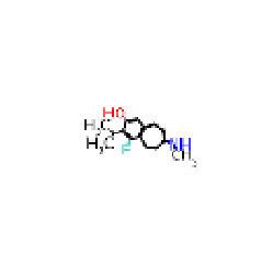 CNC1CCc2cc(O)c(C(C)C)c(F)c2CC1